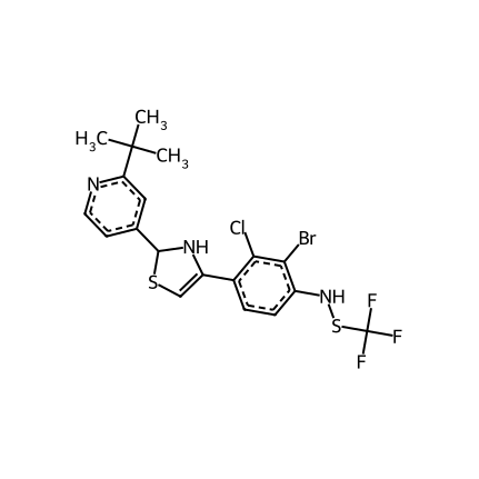 CC(C)(C)c1cc(C2NC(c3ccc(NSC(F)(F)F)c(Br)c3Cl)=CS2)ccn1